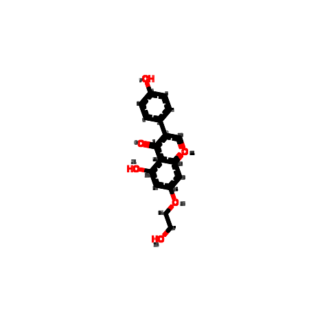 O=c1c(-c2ccc(O)cc2)coc2cc(OCCO)cc(O)c12